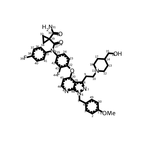 COc1ccc(Cn2nc(CCN3CCC(CO)CC3)c3c(Oc4ccc(N(C(=O)C5(C(N)=O)CC5)c5ccc(F)cc5)cc4F)ccnc32)cc1